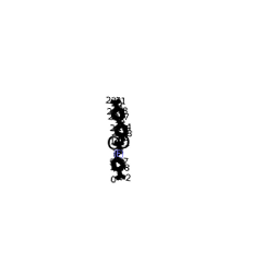 CC(C)c1ccc(/C=C/C(=O)Oc2ccc(-c3ccc(C(C)C)cc3)cc2)cc1